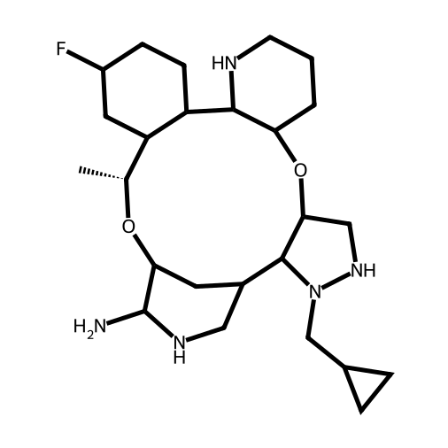 C[C@H]1OC2CC(CNC2N)C2C(CNN2CC2CC2)OC2CCCNC2C2CCC(F)CC21